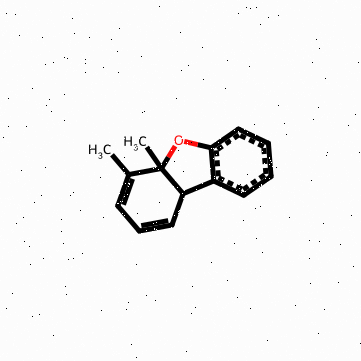 CC1=CC=CC2c3ccccc3OC12C